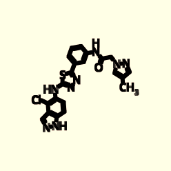 Cc1cnn(CC(=O)Nc2cccc(-c3nnc(Nc4ccc5[nH]ncc5c4Cl)s3)c2)c1